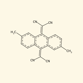 [C-]#[N+]/C(C#N)=c1\c2cc(C)ccc2/c(=C(/C#N)[N+]#[C-])c2cc(C)ccc12